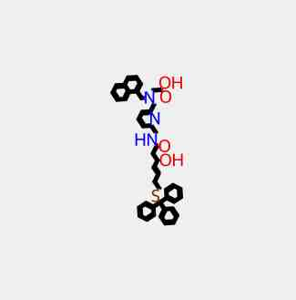 O=C(O)CN(Cc1cccc(CNC(=O)C[C@H](O)/C=C/CCSC(c2ccccc2)(c2ccccc2)c2ccccc2)n1)Cc1cccc2ccccc12